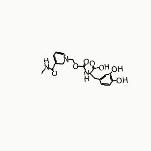 CNC(=O)C1=CC=CN(COC(=O)NC(Cc2ccc(O)c(O)c2)C(=O)O)C1